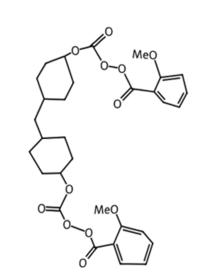 COc1ccccc1C(=O)OOC(=O)OC1CCC(CC2CCC(OC(=O)OOC(=O)c3ccccc3OC)CC2)CC1